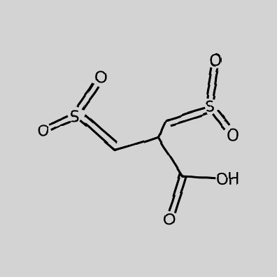 O=C(O)C(C=S(=O)=O)C=S(=O)=O